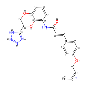 CC/C=C\COc1ccc(C=CC(=O)Nc2cccc3c2OC(c2nnn[nH]2)CO3)cc1